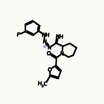 Cc1ccc(C(=O)N2CCCCC2C(=N)/N=N\Nc2cccc(F)c2)o1